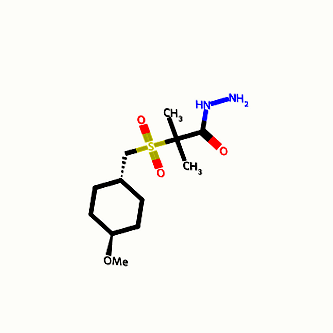 CO[C@H]1CC[C@H](CS(=O)(=O)C(C)(C)C(=O)NN)CC1